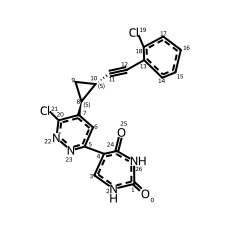 O=c1[nH]cc(-c2cc([C@H]3C[C@@H]3C#Cc3ccccc3Cl)c(Cl)nn2)c(=O)[nH]1